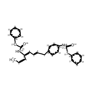 C/C=C\C(=C/C=CCc1ccc(NC(=O)Sc2ccccc2)cc1)NC(=O)Oc1ccccc1